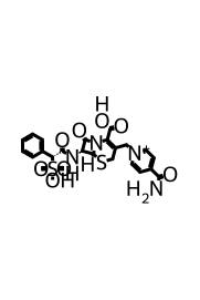 NC(=O)c1cc[n+](CC2=C(C(=O)O)N3C(=O)[C@@H](NC(=O)[C@@H](c4ccccc4)S(=O)(=O)O)[C@H]3SC2)cc1